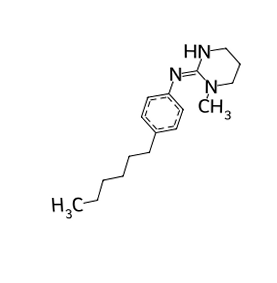 CCCCCCc1ccc(/N=C2/NCCCN2C)cc1